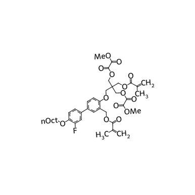 C=C(C)C(=O)OCc1cc(-c2ccc(OCCCCCCCC)c(F)c2)ccc1OCC(COC(=O)C(=C)C)(COC(=O)C(=O)OC)COC(=O)C(=O)OC